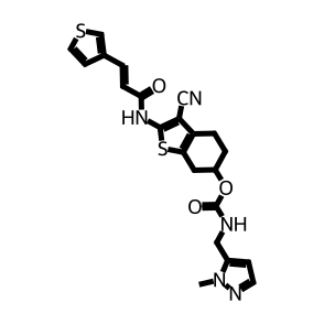 Cn1nccc1CNC(=O)OC1CCc2c(sc(NC(=O)C=Cc3ccsc3)c2C#N)C1